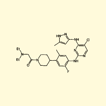 CCN(CC)CC(=O)N1CCC(c2cc(F)c(Nc3ncc(Cl)c(Nc4cc(C)[nH]n4)n3)cc2C)CC1